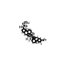 CC(C)c1ccc2c(c1)CC[C@H]1[C@](C)(C(=O)NC(=O)[C@@]3(C)CCC[C@]4(C)c5cc(NC(=O)OC(C)(C)C)ccc5CC[C@@H]34)CCC[C@]21C